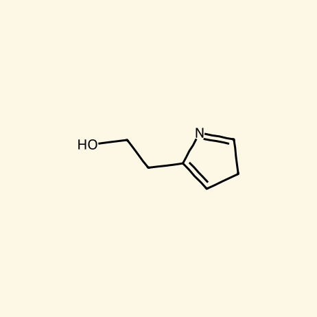 OCCC1=CCC=N1